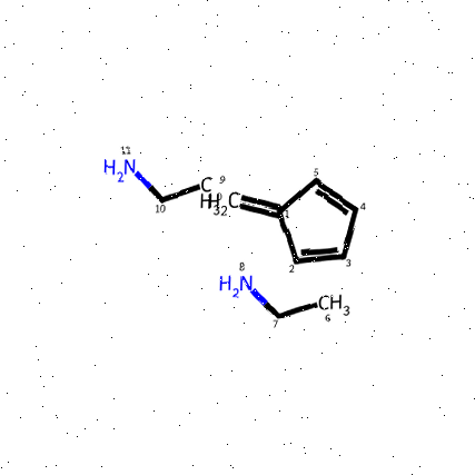 C=C1C=CC=C1.CCN.CCN